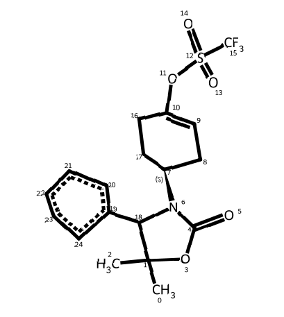 CC1(C)OC(=O)N([C@@H]2CC=C(OS(=O)(=O)C(F)(F)F)CC2)C1c1ccccc1